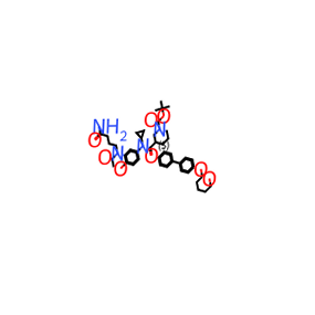 CC(C)(C)OC(=O)N1CC[C@H](c2cccc(-c3ccc(OC4CCCCO4)cc3)c2)C(C(=O)N(c2ccc3c(c2)N(CCCC(N)=O)C(=O)CO3)C2CC2)C1